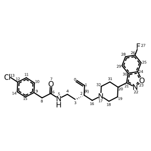 C=C[C@@H](CCNC(=O)Cc1ccc(Cl)cc1)CN1CCC(c2noc3cc(F)ccc23)CC1